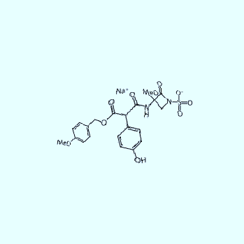 COc1ccc(COC(=O)C(C(=O)NC2(OC)CN(S(=O)(=O)[O-])C2=O)c2ccc(O)cc2)cc1.[Na+]